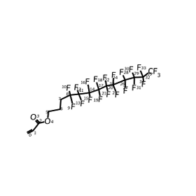 C=CC(=O)OCCCC(F)(F)C(F)(F)C(F)(F)C(F)(F)C(F)(F)C(F)(F)C(F)(F)C(F)(F)C(F)(F)C(F)(F)F